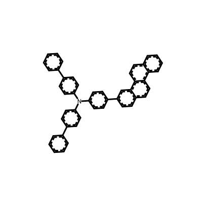 c1ccc(-c2ccc(N(c3ccc(-c4ccccc4)cc3)c3ccc(-c4ccc5ccc6c7ccccc7ccc6c5c4)cc3)cc2)cc1